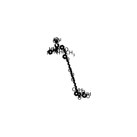 C[C@@H](NC(=O)c1cccc(NC2(c3nnc(-c4ccncc4)[nH]3)CCN(C(=O)OC(C)(C)C)CC2)c1)c1cccc(OCCCCCCOCCOCCOCCCCCC(=O)Nc2cccc3c2CN(C2CCC(=O)NC2=O)C3=O)c1